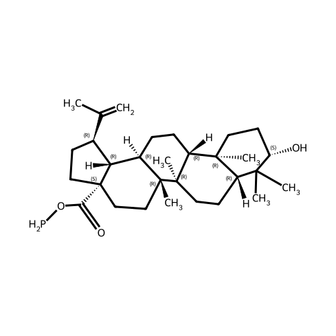 C=C(C)[C@@H]1CC[C@]2(C(=O)OP)CC[C@]3(C)[C@H](CC[C@@H]4[C@@]5(C)CC[C@H](O)C(C)(C)[C@@H]5CC[C@]43C)[C@@H]12